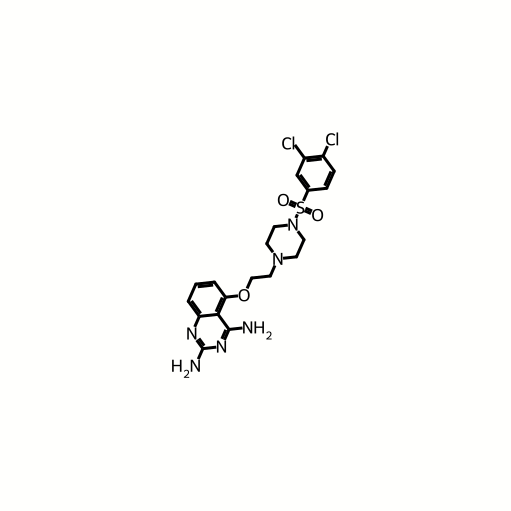 Nc1nc(N)c2c(OCCN3CCN(S(=O)(=O)c4ccc(Cl)c(Cl)c4)CC3)cccc2n1